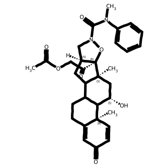 CC(=O)OCC(=O)[C@@]12ON(C(=O)N(C)c3ccccc3)C[C@@H]1CC1C3CCC4=CC(=O)C=C[C@]4(C)C3[C@@H](O)C[C@@]12C